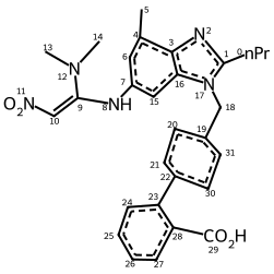 CCCc1nc2c(C)cc(NC(=C[N+](=O)[O-])N(C)C)cc2n1Cc1ccc(-c2ccccc2C(=O)O)cc1